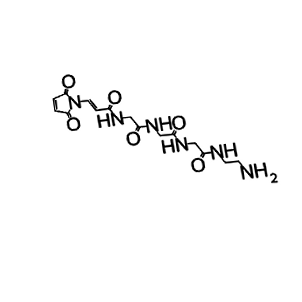 NCCNC(=O)CNC(=O)CNC(=O)CNC(=O)C=CN1C(=O)C=CC1=O